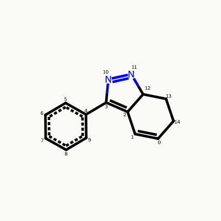 C1=CC2=C(c3ccccc3)N=NC2CC1